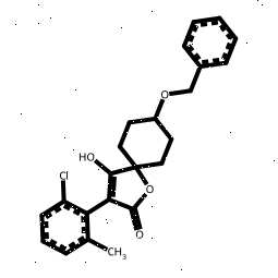 Cc1cccc(Cl)c1C1=C(O)C2(CCC(OCc3ccccc3)CC2)OC1=O